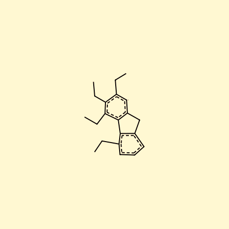 CCc1[c]c2c(c(CC)c1CC)-c1c(CC)cccc1C2